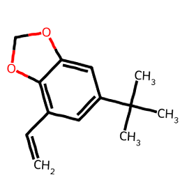 C=Cc1cc(C(C)(C)C)cc2c1OCO2